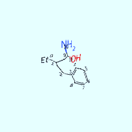 CCC(Cc1ccccc1)[C@@H](N)O